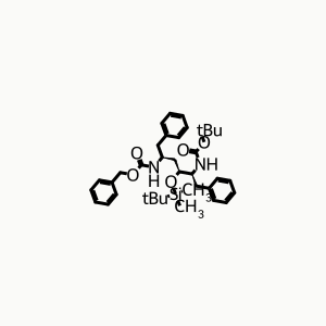 CC(C)(C)OC(=O)N[C@@H](Cc1ccccc1)[C@H](C[C@H](Cc1ccccc1)NC(=O)OCc1ccccc1)O[Si](C)(C)C(C)(C)C